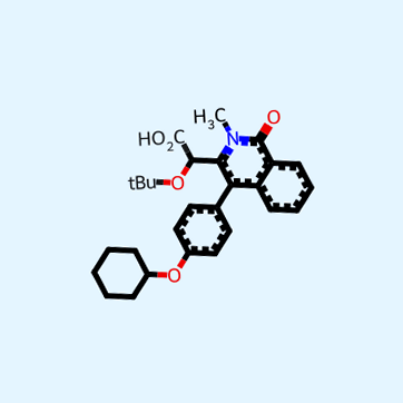 Cn1c(C(OC(C)(C)C)C(=O)O)c(-c2ccc(OC3CCCCC3)cc2)c2ccccc2c1=O